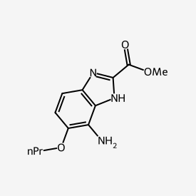 CCCOc1ccc2nc(C(=O)OC)[nH]c2c1N